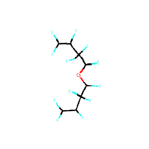 FC(F)C(F)C(F)(F)C(F)OC(F)C(F)(F)C(F)C(F)F